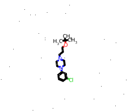 CC(C)(C)OCCCN1CCN(c2cccc(Cl)c2)CC1